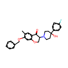 Cc1cc2c(cc1OCc1ccccc1)OCC(N1CCC(O)(c3ccc(F)cc3)CC1)C2=O